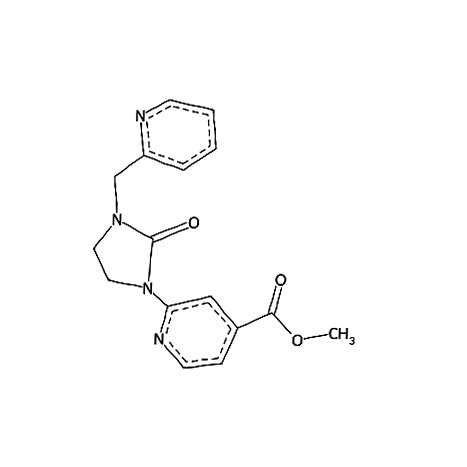 COC(=O)c1ccnc(N2CCN(Cc3ccccn3)C2=O)c1